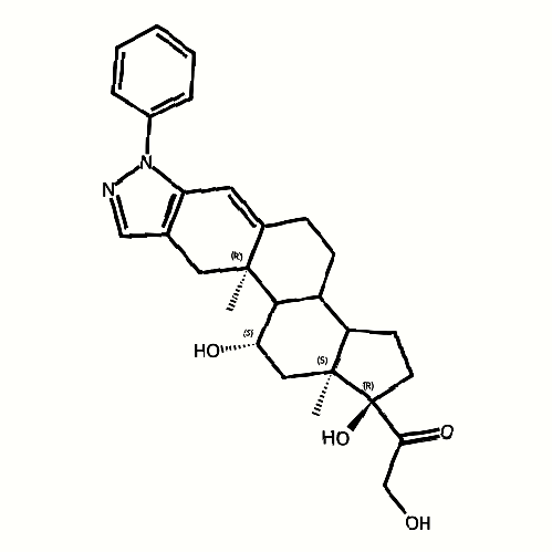 C[C@]12Cc3cnn(-c4ccccc4)c3C=C1CCC1C2[C@@H](O)C[C@@]2(C)C1CC[C@]2(O)C(=O)CO